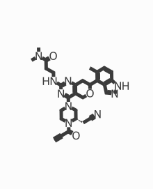 C#CC(=O)N1CCN(c2nc(NCCC(=O)N(C)C)nc3c2COC(c2c(C)ccc4[nH]ncc24)C3)C[C@@H]1CC#N